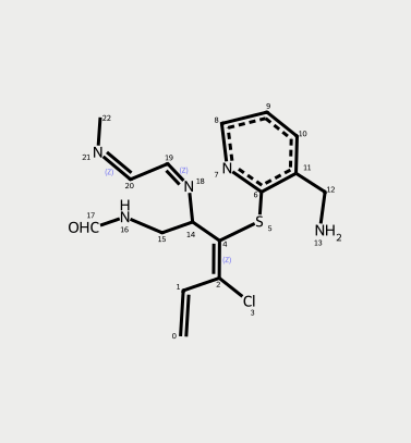 C=C/C(Cl)=C(/Sc1ncccc1CN)C(CNC=O)/N=C\C=N/C